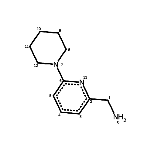 NCc1cccc(N2CCCCC2)n1